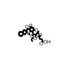 CCC(=O)OC1c2c(cc(OC)c3c(=O)c4cc5ccccc5cc4n(C)c23)OC(C)(C)C1OC(=O)CCC(=O)O